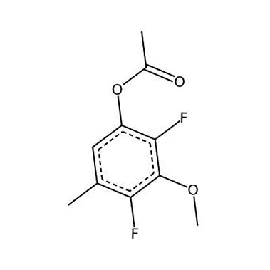 COc1c(F)c(C)cc(OC(C)=O)c1F